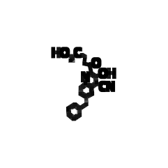 N#Cc1c(O)c(C(=O)CCC(=O)O)nc2ccc(Cc3ccccc3)cc12